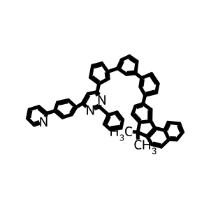 CC1(C)c2ccc(-c3cccc(-c4cccc(-c5cccc(-c6cc(-c7ccc(-c8ccccn8)cc7)nc(-c7ccccc7)n6)c5)c4)c3)cc2-c2c1ccc1ccccc21